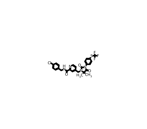 CC1(C)C(=O)N(c2ccc(SC(F)(F)F)cc2)C(=O)N1Cc1ccnc(C(=O)NCc2ccc(Cl)cc2)c1